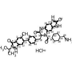 Cc1cc2c(=O)n(C(C)C)[nH]c2cc1-c1ccc(C[C@@H](C(N)=O)N(c2ccc3[nH]c(=O)[nH]c3c2)C(=O)[C@H]2CC[C@H](CN)CC2)cc1.Cl